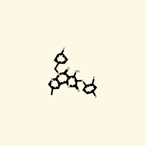 Cc1cnc2c(c1)c1oc(=O)c(Sc3ccc(F)cc3F)c(O)c1c(=O)n2Cc1ccc(F)cc1